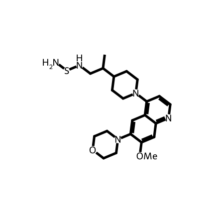 COc1cc2nccc(N3CCC(C(C)CNSN)CC3)c2cc1N1CCOCC1